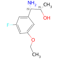 CCOc1cc(F)cc([C@H](N)[C@H](C)O)c1